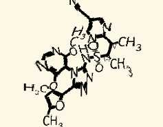 COc1ncnc(OC)c1-n1c(NS(=O)(=O)[C@@H](C)[C@H](C)c2ncc(C#N)cn2)nnc1-c1ccc(C)o1